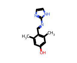 Cc1cc(O)cc(C)c1/C=N/c1ncc[nH]1